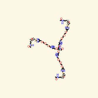 CC(=O)NCCC[Si](C)(C)O[Si](C)(C)CSc1ncc(COCCOCCOCCn2cc(COCC(COCc3cn(CCOCCOCCOCc4cnc(SC[Si](C)(C)O[Si](C)(C)CCCNC(C)=O)nc4)nn3)(COCc3cn(CCOCCOCCOCc4cnc(SC[Si](C)(C)O[Si](C)(C)CCCNC(C)=O)nc4)nn3)NC(C)=O)nn2)cn1